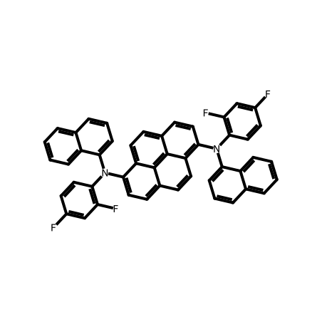 Fc1ccc(N(c2cccc3ccccc23)c2ccc3ccc4c(N(c5ccc(F)cc5F)c5cccc6ccccc56)ccc5ccc2c3c54)c(F)c1